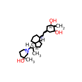 C=C1[C@H](O)CC(=C/C=C2\CCC[C@]3(C)[C@@H](C(C)CN4CCC[C@](C)(O)C4)CC[C@@H]23)C[C@H]1O